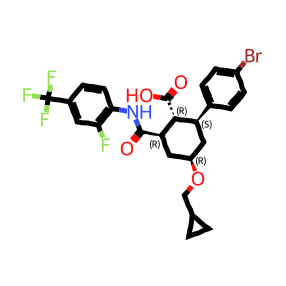 O=C(O)[C@@H]1[C@@H](c2ccc(Br)cc2)C[C@@H](OCC2CC2)C[C@H]1C(=O)Nc1ccc(C(F)(F)F)cc1F